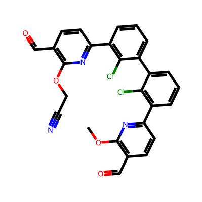 COc1nc(-c2cccc(-c3cccc(-c4ccc(C=O)c(OCC#N)n4)c3Cl)c2Cl)ccc1C=O